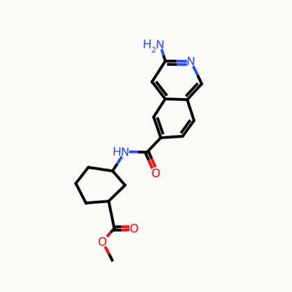 COC(=O)C1CCCC(NC(=O)c2ccc3cnc(N)cc3c2)C1